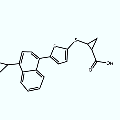 O=C(O)C1CC1Sc1ccc(-c2ccc(C3CC3)c3ccccc23)s1